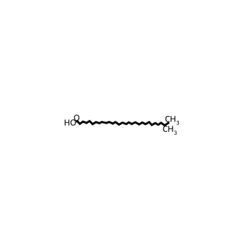 CC[C@@H](C)CCCCCCCCCCCCCCCCCCCCCCCCCCC(=O)O